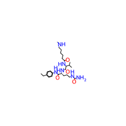 CCc1ccc(NC(=O)[C@H](CCCNC(N)=O)NC(=O)[C@@H](NC(=O)CCCCCNC)C(C)C)cc1